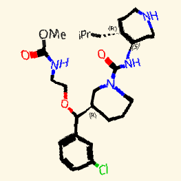 COC(=O)NCCOC(c1cccc(Cl)c1)[C@@H]1CCCN(C(=O)N[C@@H]2CNCC[C@H]2CC(C)C)C1